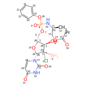 B[C@]1(Cl)[C@H](O)[C@@H](COP(=O)(N[C@@H](C)COC(=O)C(C)C)Oc2ccccc2)O[C@H]1n1ccc(=O)[nH]c1=O